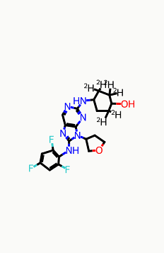 [2H]C1([2H])CC(Nc2ncc3nc(Nc4c(F)cc(F)cc4F)n(C4CCOC4)c3n2)C([2H])([2H])C([2H])([2H])C1O